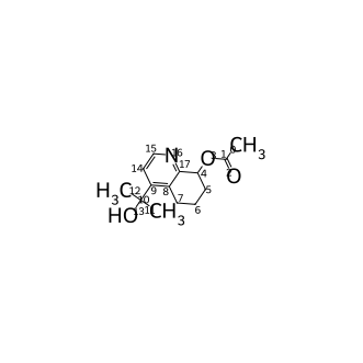 CC(=O)OC1CCCc2c(C(C)(C)O)ccnc21